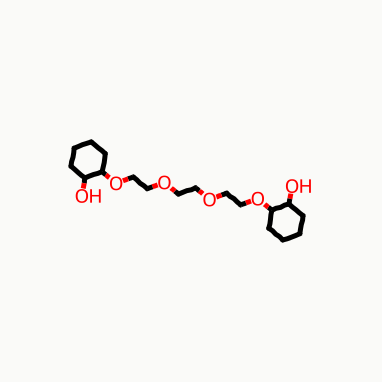 OC1CCCCC1OCCOCCOCCOC1CCCCC1O